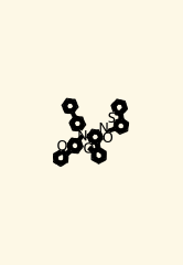 c1ccc(-c2ccc(N(c3ccc4c(c3)oc3ccccc34)c3cc4nc(-c5cccc6c5sc5ccccc56)oc4c4c3oc3ccccc34)cc2)cc1